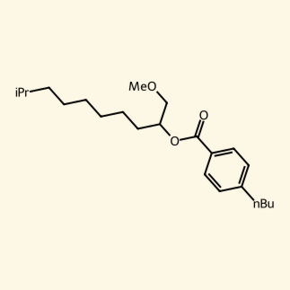 CCCCc1ccc(C(=O)OC(CCCCCCC(C)C)COC)cc1